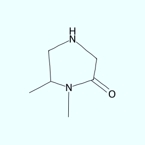 CC1CNCC(=O)N1C